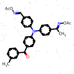 CC(=O)ON=C(C)c1ccc(N(c2ccc(/C=N/OC(C)=O)cc2)c2ccc(C(=O)c3cccc(C)c3)cc2)cc1